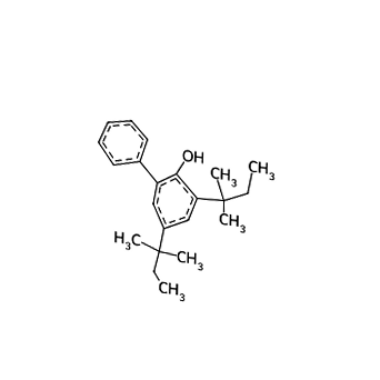 CCC(C)(C)c1cc(-c2ccccc2)c(O)c(C(C)(C)CC)c1